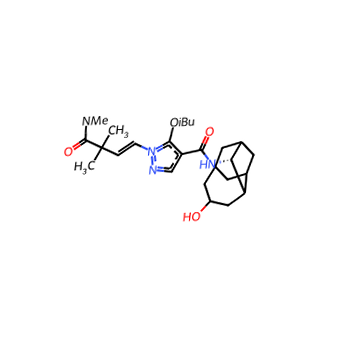 CNC(=O)C(C)(C)/C=C/n1ncc(C(=O)N[C@@H]2C3CC4CC(O)CC2C(C4)C3)c1OCC(C)C